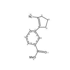 COC(=O)c1cccc(C2=C(C#N)CCC2)c1